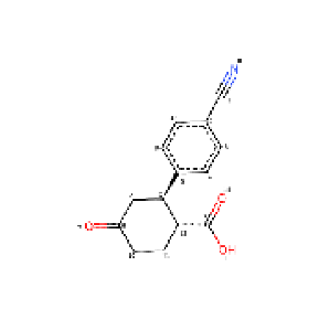 N#Cc1ccc([C@@H]2CC(=O)CC[C@H]2C(=O)O)cc1